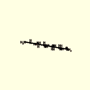 N=C(NCCCCCCNCCCCCCN)NCCCCCCNC(=N)NCCCCCCNC(=N)NCCCCCCNC(=N)NCCCCCC(N)=O